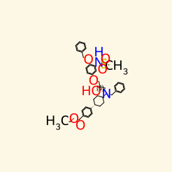 CCOC(=O)c1ccc([C@H]2CC[C@H](N(Cc3ccccc3)C[C@H](O)COc3ccc(OCc4ccccc4)c(NS(C)(=O)=O)c3)CC2)cc1